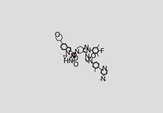 Cc1cc(-n2ccn(-c3c4c(nn3-c3cc(C)c(F)c(C)c3)CCN(C(=O)c3cc5cc(C6CCOCC6)ccc5n3[C@@]3(c5noc(=O)[nH]5)C[C@@H]3C)[C@H]4C)c2=O)ccc1-c1cc(N(C)C)ccn1